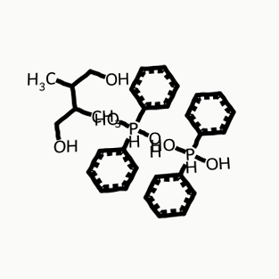 CC(CO)C(C)CO.O[PH](O)(c1ccccc1)c1ccccc1.O[PH](O)(c1ccccc1)c1ccccc1